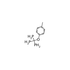 Cc1ccc(OC(P)(P)P)cc1